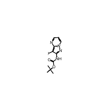 CC(C)(C)OC(=O)Nc1nn2cccnc2c1I